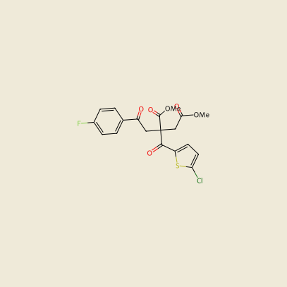 COC(=O)CC(CC(=O)c1ccc(F)cc1)(C(=O)OC)C(=O)c1ccc(Cl)s1